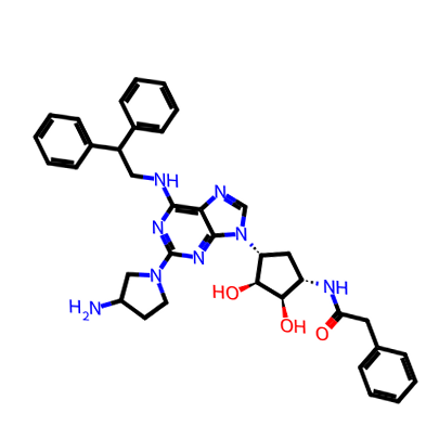 NC1CCN(c2nc(NCC(c3ccccc3)c3ccccc3)c3ncn([C@@H]4C[C@H](NC(=O)Cc5ccccc5)[C@@H](O)[C@H]4O)c3n2)C1